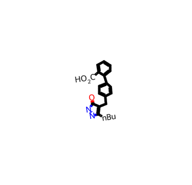 CCCCC1=C(Cc2ccc(-c3ccccc3C(=O)O)cc2)C(=O)N=N1